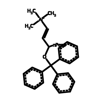 CCCCCC(/C=[CH]/[Al-]([CH3])([CH3])[CH3])OC(c1ccccc1)(c1ccccc1)c1ccccc1